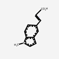 Cn1ccc2cc(/C=C/C(=O)O)ccc21